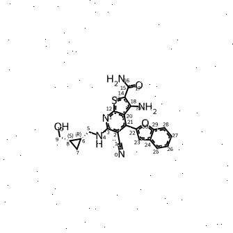 N#Cc1c(NC[C@@H]2C[C@@H]2CO)nc2sc(C(N)=O)c(N)c2c1-c1cc2ccccc2o1